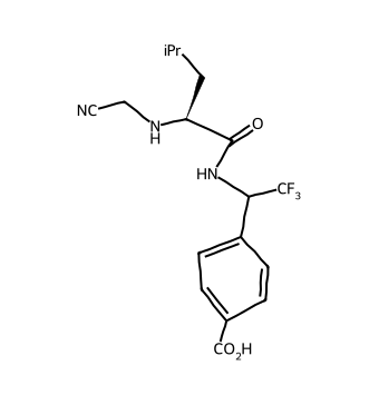 CC(C)C[C@H](NCC#N)C(=O)NC(c1ccc(C(=O)O)cc1)C(F)(F)F